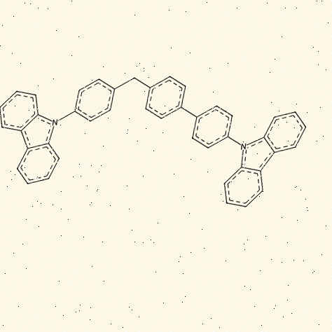 c1ccc2c(c1)c1ccccc1n2-c1ccc(Cc2ccc(-c3ccc(-n4c5ccccc5c5ccccc54)cc3)cc2)cc1